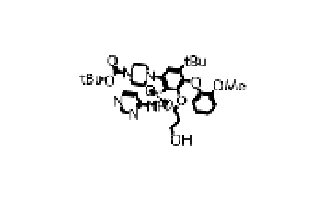 COc1ccccc1Oc1c(C(C)(C)C)cc(N2CCN(C(=O)OC(C)(C)C)CC2)c(S(=O)(=O)Nc2ccncn2)c1OCCCO